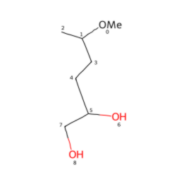 COC(C)CCC(O)CO